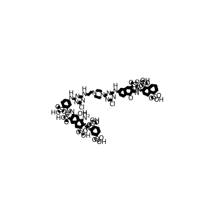 Nc1c(/N=N/c2cc(S(=O)(=O)O)ccc2S(=O)(=O)O)c(S(=O)(=O)O)cc2cc(S(=O)(=O)O)c(/N=N/c3cc(Nc4nc(Cl)nc(NCCN5CCN(c6nc(Cl)nc(Nc7ccc8c(c7)C=C(S(=O)(=O)O)/C(=N\Nc7ccc9c(S(=O)(=O)O)cccc9c7S(=O)(=O)O)C8=O)n6)CC5)n4)ccc3S(=O)(=O)O)c(O)c12